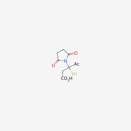 CC(=O)C(S)(CC(=O)O)N1C(=O)CCC1=O